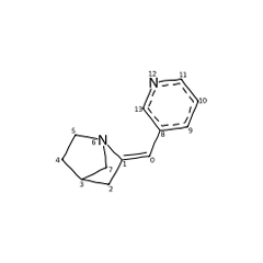 C(=C1\CC2CCN1C2)/c1cccnc1